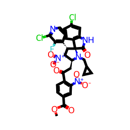 COC(=O)c1ccc(C(=O)C[C@H]2[C@@H]([N+](=O)[O-])[C@H](c3ccnc(Cl)c3F)[C@]3(C(=O)Nc4cc(Cl)ccc43)N2CC2CC2)c([N+](=O)[O-])c1